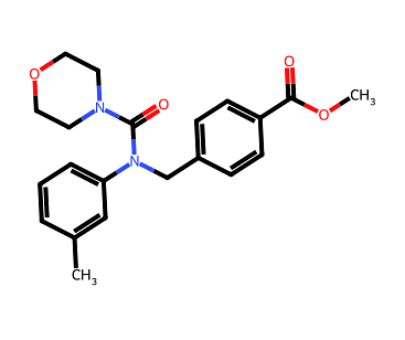 COC(=O)c1ccc(CN(C(=O)N2CCOCC2)c2cccc(C)c2)cc1